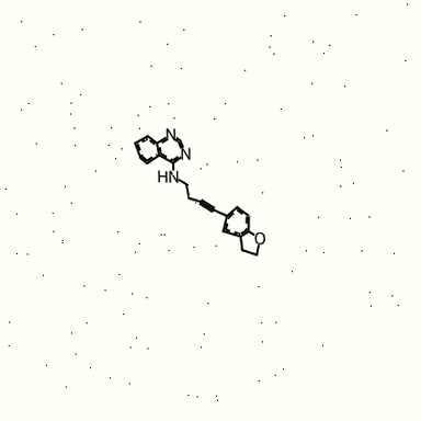 C(#Cc1ccc2c(c1)CCO2)CCNc1ncnc2ccccc12